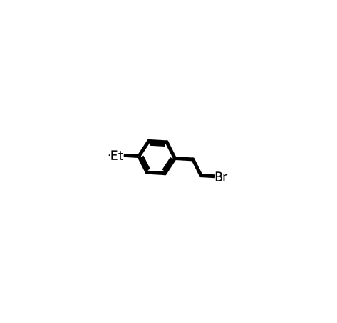 C[CH]c1ccc(CCBr)cc1